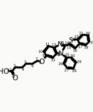 O=C(O)CCCCCOc1ccc2nc(-c3cc4ccccc4s3)n(-c3ccccc3)c2c1